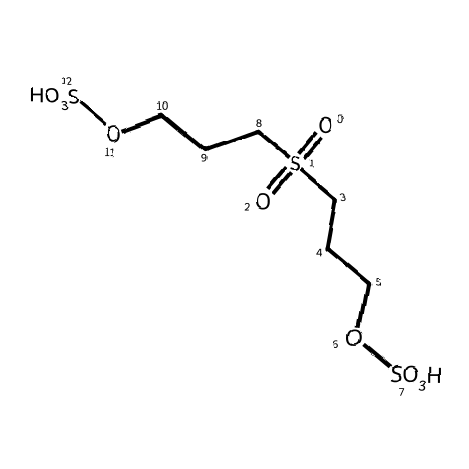 O=S(=O)(CCCOS(=O)(=O)O)CCCOS(=O)(=O)O